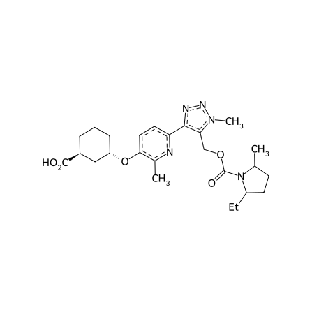 CCC1CCC(C)N1C(=O)OCc1c(-c2ccc(O[C@H]3CCC[C@H](C(=O)O)C3)c(C)n2)nnn1C